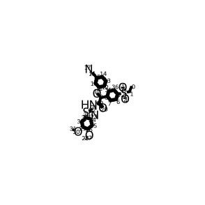 CCS(=O)(=O)c1ccc(C(Oc2cccc(C#N)c2)C(=O)Nc2nc3cc(OC)c(OC)cc3s2)cc1